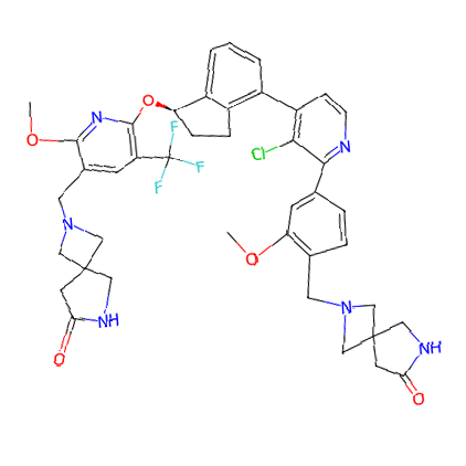 COc1cc(-c2nccc(-c3cccc4c3CC[C@H]4Oc3nc(OC)c(CN4CC5(CNC(=O)C5)C4)cc3C(F)(F)F)c2Cl)ccc1CN1CC2(CNC(=O)C2)C1